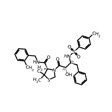 Cc1ccc(S(=O)(=O)N[C@@H](Cc2ccccc2)[C@H](O)C(=O)N2CSC(C)(C)[C@H]2C(=O)NCc2ccccc2C)cc1